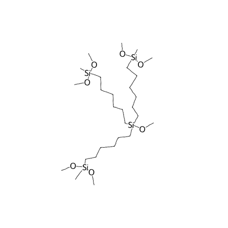 CO[Si](CCCCCC[Si](C)(OC)OC)(CCCCCC[Si](C)(OC)OC)CCCCCC[Si](C)(OC)OC